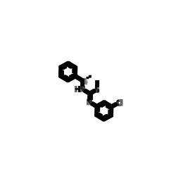 CSC(=Nc1cccc(Cl)c1)N[C@@H](C)c1ccccc1